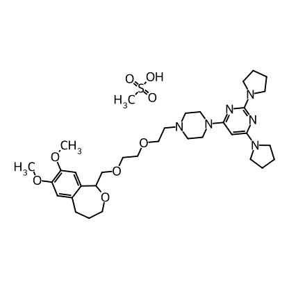 COc1cc2c(cc1OC)C(COCCOCCN1CCN(c3cc(N4CCCC4)nc(N4CCCC4)n3)CC1)OCCC2.CS(=O)(=O)O